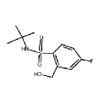 CC(C)(C)NS(=O)(=O)c1ccc(F)cc1CO